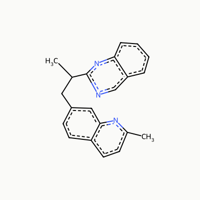 Cc1ccc2ccc(CC(C)c3ncc4ccccc4n3)cc2n1